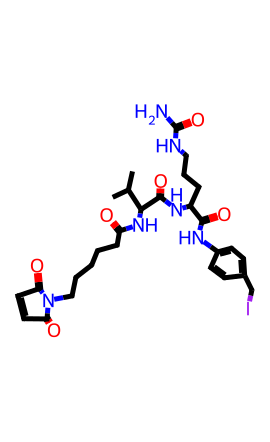 CC(C)C(NC(=O)CCCCCN1C(=O)C=CC1=O)C(=O)NC(CCCNC(N)=O)C(=O)Nc1ccc(CI)cc1